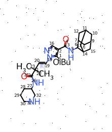 CC(C)COc1c(C(=O)NC2C3CC4CC(C3)CC2C4)cnn1/C=C/C(C)(C)C(=O)NC1CCCNC1